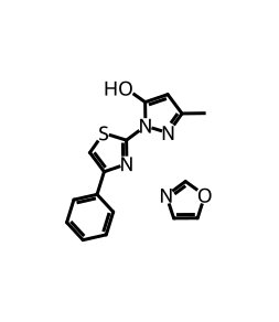 Cc1cc(O)n(-c2nc(-c3ccccc3)cs2)n1.c1cocn1